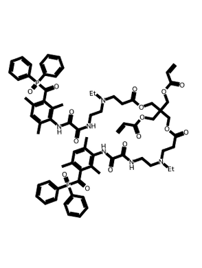 C=CC(=O)OCC(COC(=O)C=C)(COC(=O)CCN(CC)CCNC(=O)C(=O)Nc1c(C)cc(C)c(C(=O)P(=O)(c2ccccc2)c2ccccc2)c1C)COC(=O)CCN(CC)CCNC(=O)C(=O)Nc1c(C)cc(C)c(C(=O)P(=O)(c2ccccc2)c2ccccc2)c1C